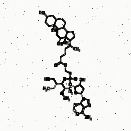 CC[C@H](CO)C(OP(=O)(O[C@H]1O[C@@H](n2cnc3c(N)ncnc32)CC1O)SCOC(=O)CCCC(C)C1CCC2C3CCC4CC(O)CCC4(C)C3CC(O)C12C)C(C)OC